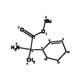 CC(C)(C)OC(=O)C(C)(N)C1C=CCCC1